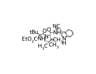 CCOC(=O)N[C@H](C(=O)N1CC(C)(C)[C@H](C)C1C(=O)N[C@H](C#N)Cc1c[nH]c2ccccc12)C(C)(C)C